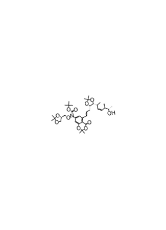 CC(/C=C\[C@@H](C)[C@H](C)O)[C@H]1OC(C)(C)O[C@H]1C/C=C/c1cc(N(OC[C@H]2COC(C)(C)O2)C(=O)OC(C)(C)C)cc2c1C(=O)OC(C)(C)O2